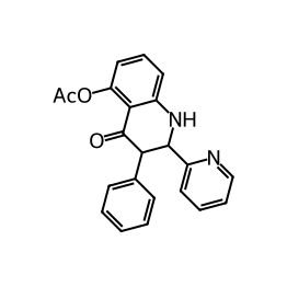 CC(=O)Oc1cccc2c1C(=O)C(c1ccccc1)C(c1ccccn1)N2